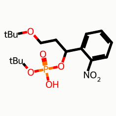 CC(C)(C)OCCC(OP(=O)(O)OC(C)(C)C)c1ccccc1[N+](=O)[O-]